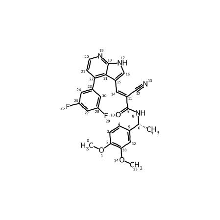 COc1ccc([C@@H](C)NC(=O)/C(C#N)=C/c2c[nH]c3nccc(-c4cc(F)cc(F)c4)c23)cc1OC